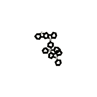 c1ccc(-n2c3ccccc3c3c([Si](c4ccccc4)(c4ccccc4)c4ccc(-n5c6ccccc6c6cc7sc8ccccc8c7cc65)cc4)cccc32)cc1